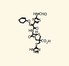 O=CNc1nc(C(=NOC2C=CCCC2)C(=O)NC2C(=O)N3CC(CSc4nnn[nH]4)(C(=O)O)CS[C@H]23)cs1